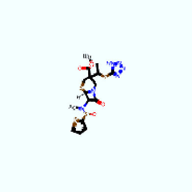 CC(=O)N(C1C(=O)N2CC(C(=O)OC(C)(C)C)(C(C)Sc3nnn[nH]3)CS[C@H]12)[S+]([O-])c1cccs1